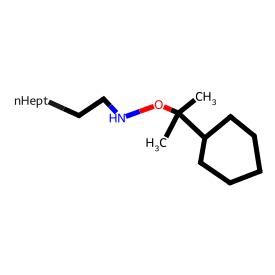 CCCCCCCCCNOC(C)(C)C1CCCCC1